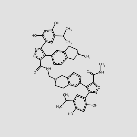 CNC(=O)c1onc(-c2cc(C(C)C)c(O)cc2O)c1-c1ccc2c(c1)CCN(CNC(=O)c1onc(-c3cc(C(C)C)c(O)cc3O)c1-c1ccc3c(c1)CCN(C)C3)C2